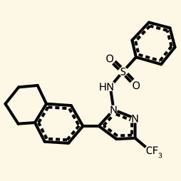 O=S(=O)(Nn1nc(C(F)(F)F)cc1-c1ccc2c(c1)CCCC2)c1ccccc1